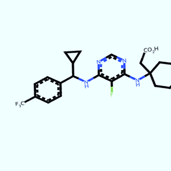 O=C(O)CC1(Nc2ncnc(NC(c3ccc(C(F)(F)F)cc3)C3CC3)c2F)CCOCC1